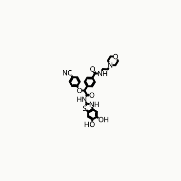 N#Cc1ccc(OC(C(=O)NC2Nc3cc(O)c(O)cc3S2)c2ccc(C(=O)NCCN3CCOCC3)cc2)cc1